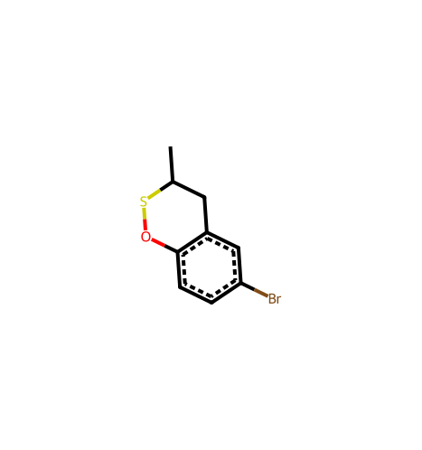 CC1Cc2cc(Br)ccc2OS1